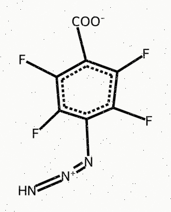 N=[N+]=Nc1c(F)c(F)c(C(=O)[O-])c(F)c1F